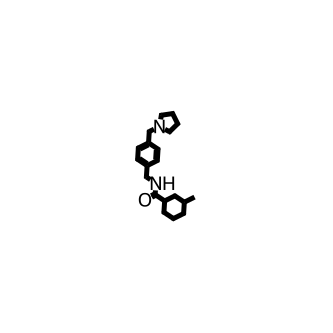 CC1CCCC(C(=O)NCc2ccc(CN3CCCC3)cc2)C1